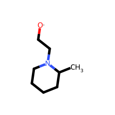 CC1CCCCN1CC[O]